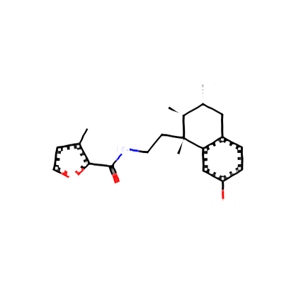 Cc1ccoc1C(=O)NCC[C@@]1(C)c2cc(O)ccc2C[C@@H](C)[C@@H]1C